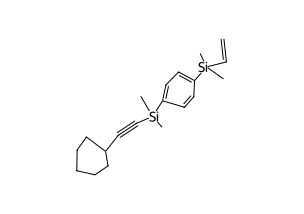 C=C[Si](C)(C)c1ccc([Si](C)(C)C#CC2CCCCC2)cc1